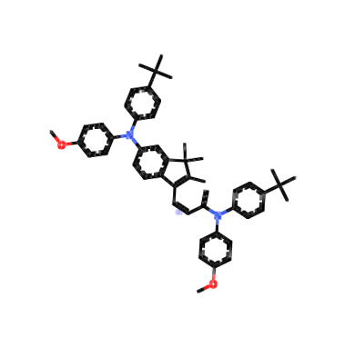 C=C(/C=C\C1=C(C)C(C)(C)c2cc(N(c3ccc(OC)cc3)c3ccc(C(C)(C)C)cc3)ccc21)N(c1ccc(OC)cc1)c1ccc(C(C)(C)C)cc1